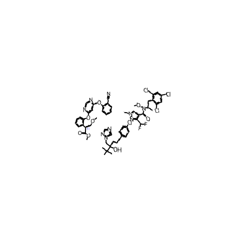 CC(C)(C)C(O)(CCc1ccc(Cl)cc1)Cn1cncn1.CO/C=C(/C(=O)OC)c1ccccc1Oc1cc(Oc2ccccc2C#N)ncn1.CON(C(=O)c1cn(C)nc1C(F)F)C(C)Cc1c(Cl)cc(Cl)cc1Cl